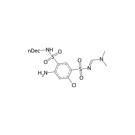 CCCCCCCCCCNS(=O)(=O)c1cc(S(=O)(=O)/N=C/N(C)C)c(Cl)cc1N